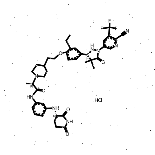 CCc1cc([SH]2NN(c3cnc(C#N)c(C(F)(F)F)c3)C(=O)C2(C)C)ccc1OCCC1CCN([C@H](C)C(=O)Nc2cccc(N[C@H]3CCC(=O)NC3=O)c2)CC1.Cl